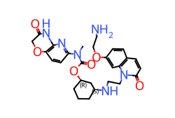 CN(C(=O)O[C@@H]1CCC[C@H](NCCn2c(=O)ccc3ccc(OCCN)cc32)C1)c1ccc2c(n1)NC(=O)CO2